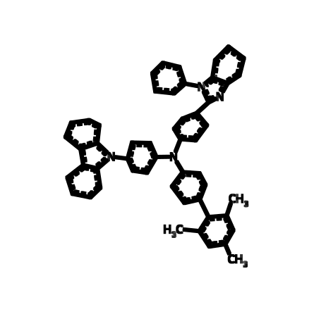 Cc1cc(C)c(-c2ccc(N(c3ccc(-c4nc5ccccc5n4-c4ccccc4)cc3)c3ccc(-n4c5ccccc5c5ccccc54)cc3)cc2)c(C)c1